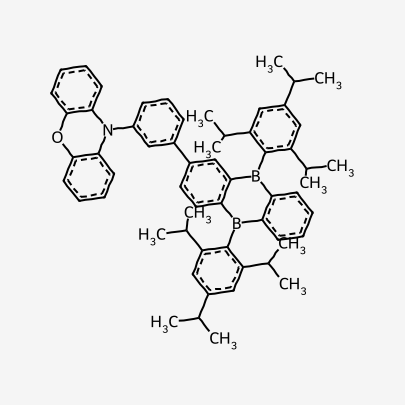 CC(C)c1cc(C(C)C)c(B2c3ccccc3B(c3c(C(C)C)cc(C(C)C)cc3C(C)C)c3cc(-c4cccc(N5c6ccccc6Oc6ccccc65)c4)ccc32)c(C(C)C)c1